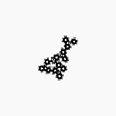 c1ccc(-c2nc(-c3cccc(-n4c5ccccc5c5ccc(-c6ccc7c(c6)c6ccccc6n7-c6ccccc6)cc54)c3)nc3ccc(-n4c5ccccc5c5cc(-c6ccc7c(c6)c6ccccc6n7-c6ccccc6)ccc54)cc23)cc1